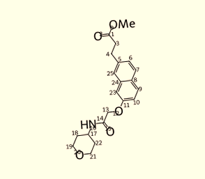 COC(=O)CCc1ccc2ccc(OCC(=O)NC3CCOCC3)cc2c1